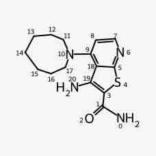 NC(=O)c1sc2nccc(N3CCCCCCC3)c2c1N